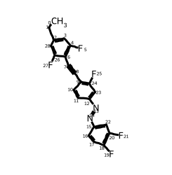 CCc1cc(F)c(C#Cc2ccc(N=Nc3ccc(F)c(F)c3)cc2F)c(F)c1